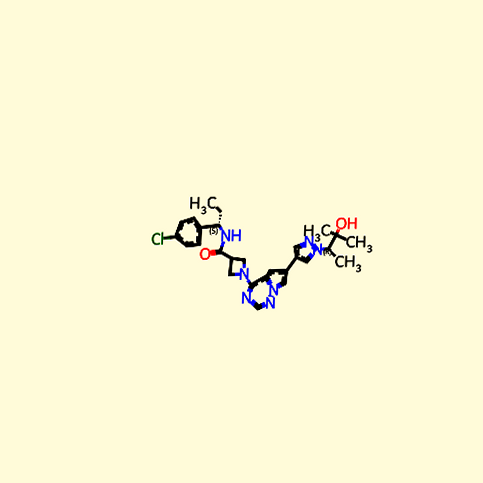 CC[C@H](NC(=O)C1CN(c2ncnn3cc(-c4cnn([C@H](C)C(C)(C)O)c4)cc23)C1)c1ccc(Cl)cc1